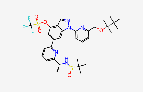 C[C@H](N[S@+]([O-])C(C)(C)C)c1cccc(-c2cc(OS(=O)(=O)C(F)(F)F)c3cnn(-c4cccc(CO[Si](C)(C)C(C)(C)C)n4)c3c2)n1